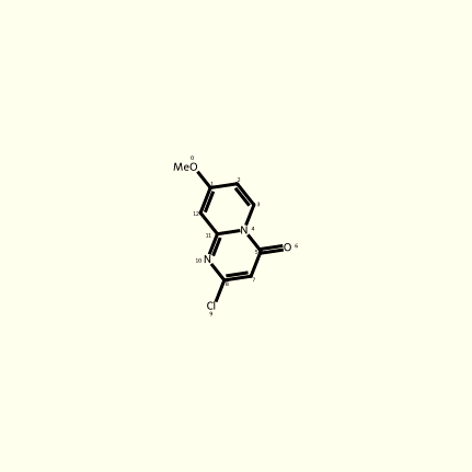 COc1ccn2c(=O)cc(Cl)nc2c1